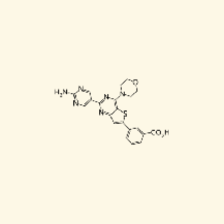 Nc1ncc(-c2nc(N3CCOCC3)c3sc(-c4cccc(C(=O)O)c4)cc3n2)cn1